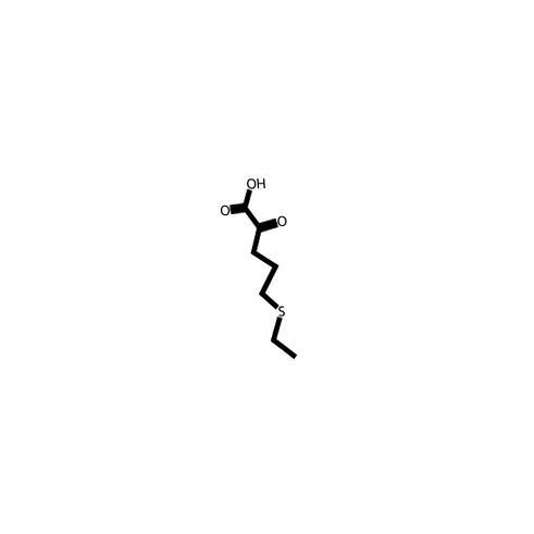 CCSCCCC(=O)C(=O)O